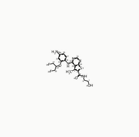 Cc1c(C(=O)NCCO)sc2ncnc(Nc3ccc(N)cc3OC(CF)CF)c12